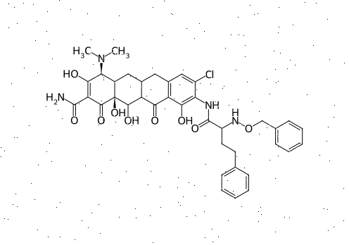 CN(C)[C@@H]1C(O)=C(C(N)=O)C(=O)[C@@]2(O)C(O)C3C(=O)c4c(cc(Cl)c(NC(=O)C(CCc5ccccc5)NOCc5ccccc5)c4O)CC3CC12